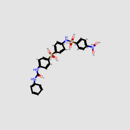 O=C(Nc1ccccc1)Nc1ccc(S(=O)(=O)c2ccc(NS(=O)(=O)c3ccc([N+](=O)[O-])cc3)cc2)cc1